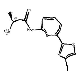 Cc1csc(-c2cccc(NC(=O)[C@H](C)N)n2)n1